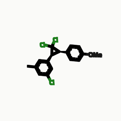 COc1ccc([C@@H]2[C@@H](c3cc(C)cc(Cl)c3)C2(Cl)Cl)cc1